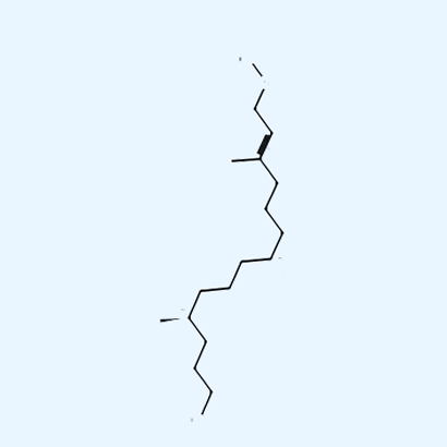 C/C(=C\CNC(C)C)CCC[C@H](C)CCC[C@H](C)CCCC(C)C